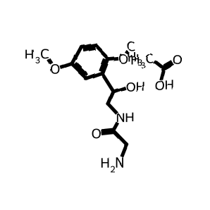 CC(=O)O.COc1ccc(OC)c(C(O)CNC(=O)CN)c1